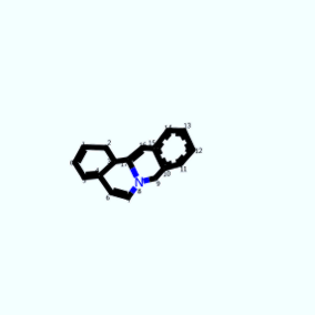 C1=CCC2C(=C1)C=CN1Cc3ccccc3C=C21